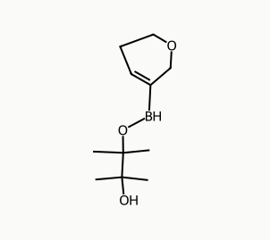 CC(C)(O)C(C)(C)OBC1=CCCOC1